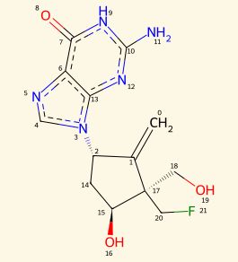 C=C1[C@@H](n2cnc3c(=O)[nH]c(N)nc32)C[C@H](O)[C@]1(CO)CF